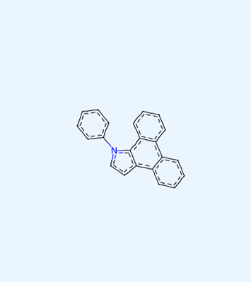 c1ccc(-n2ccc3c4ccccc4c4ccccc4c32)cc1